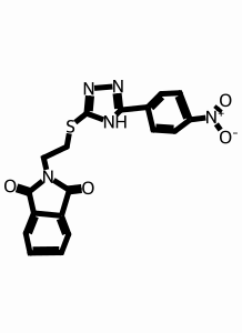 O=C1c2ccccc2C(=O)N1CCSc1nnc(-c2ccc([N+](=O)[O-])cc2)[nH]1